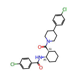 O=C(N[C@@H]1CCCC[C@@H]1C(=O)N1CCC(c2ccc(Cl)cc2)CC1)c1ccc(Cl)cc1